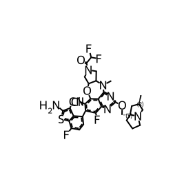 C[C@H]1CN2CCC[C@@]2(COc2nc3c4c(c(Cl)c(-c5ccc(F)c6sc(N)c(C#N)c56)c(F)c4n2)OC2CN(C(=O)C(F)F)CC2N3C)C1